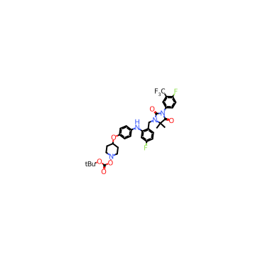 CC(C)(C)OC(=O)ON1CCC(Oc2ccc(Nc3cc(F)ccc3CN3C(=O)N(c4ccc(F)c(C(F)(F)F)c4)C(=O)C3(C)C)cc2)CC1